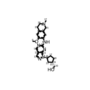 COc1cc2c(cc1Nc1ncc3cnn([C@H]4CC[C@H](CO)C4)c3n1)CN(C)CC2